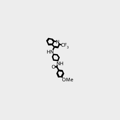 COc1ccc(C(=O)N[C@H]2CC[C@@H](Nc3cc(C(F)(F)F)nc4ccccc34)CC2)cc1